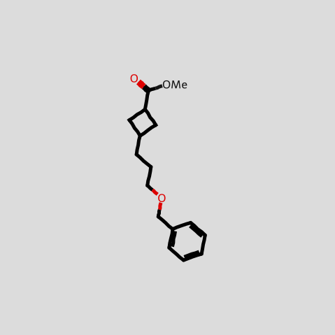 COC(=O)C1CC(CCCOCc2ccccc2)C1